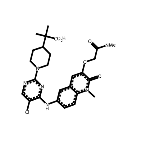 CNC(=O)COc1cc2cc(Nc3nc(N4CCC(C(C)(C)C(=O)O)CC4)ncc3Cl)ccc2n(C)c1=O